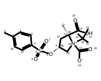 Cc1ccc(S(=O)(=O)O[C@@H]2C[C@@](C)(C(=O)O)[N+](C(=O)[O-])(C(C)(C)C)C2)cc1